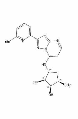 [CH2][C@@H]1C[C@@H](Nc2ccnc3cc(-c4cccc(C(C)(C)C)n4)nn23)[C@H](O)[C@@H]1O